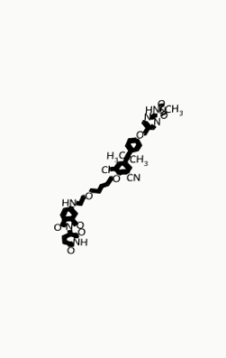 CC(C)(c1ccc(OCc2cnc(NS(C)(=O)=O)nc2)cc1)c1cc(Cl)c(OCCCCCOCCNc2ccc3c(c2)C(=O)N(C2CCC(=O)NC2=O)C3=O)c(C#N)c1